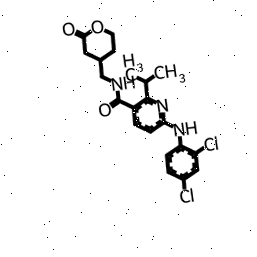 CC(C)c1nc(Nc2ccc(Cl)cc2Cl)ccc1C(=O)NCC1CCOC(=O)C1